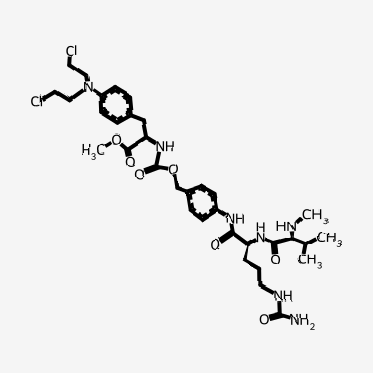 CN[C@H](C(=O)N[C@@H](CCCNC(N)=O)C(=O)Nc1ccc(COC(=O)NC(Cc2ccc(N(CCCl)CCCl)cc2)C(=O)OC)cc1)C(C)C